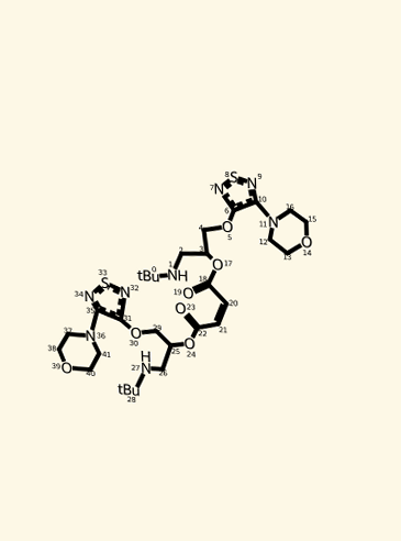 CC(C)(C)NCC(COc1nsnc1N1CCOCC1)OC(=O)/C=C\C(=O)OC(CNC(C)(C)C)COc1nsnc1N1CCOCC1